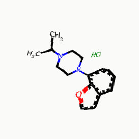 CC(C)N1CCN(c2cccc3ccoc23)CC1.Cl